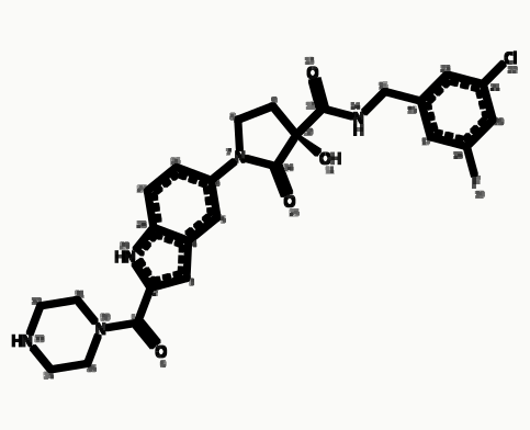 O=C(c1cc2cc(N3CC[C@](O)(C(=O)NCc4cc(F)cc(Cl)c4)C3=O)ccc2[nH]1)N1CCNCC1